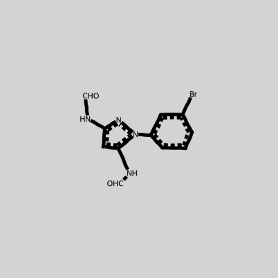 O=CNc1cc(NC=O)n(-c2cccc(Br)c2)n1